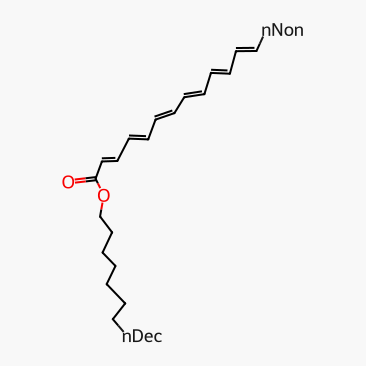 CCCCCCCCCC=CC=CC=CC=CC=CC=CC(=O)OCCCCCCCCCCCCCCCCC